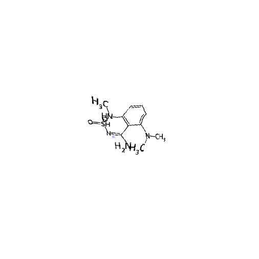 CNc1cccc(N(C)C)c1/C(N)=N\[SH](=O)=O